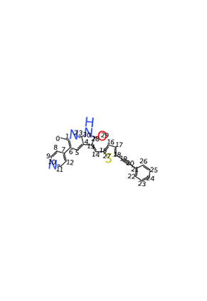 Cc1nc2c(cc1-c1ccncc1)C(=Cc1ccc(C#Cc3ccccc3)s1)C(=O)N2